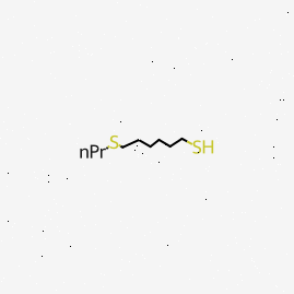 [CH2]CCSCCCCCCS